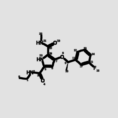 CCNC(=O)c1cc(O[C@@H](C)c2cccc(F)c2)c(C(=O)NC)[nH]1